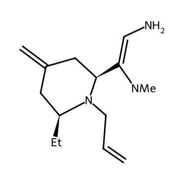 C=CCN1[C@@H](CC)CC(=C)C[C@H]1/C(=C/N)NC